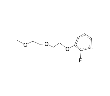 COCCOCCOc1ccc[c]c1F